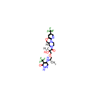 C[C@@H](COC[C@](C)(O)C(=O)N1CCN2c3ncc(C(F)(F)F)cc3OC[C@@H]2C1)Nc1cn[nH]c(=O)c1C(F)(F)F